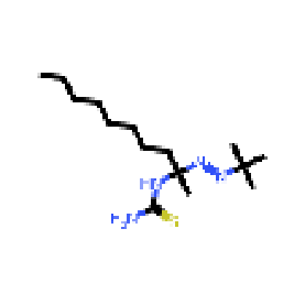 CCCCCCCCC(C)(N=NC(C)(C)C)NC(N)=S